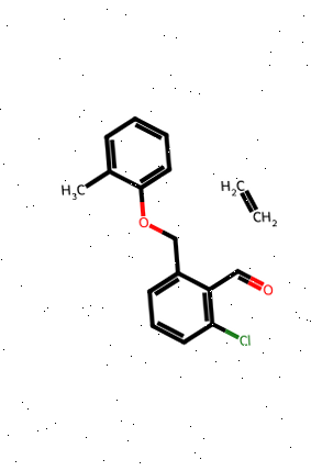 C=C.Cc1ccccc1OCc1cccc(Cl)c1C=O